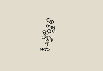 O=C(O)CCc1cnc([C@@H]2CCC[N+]2(C(=O)Cc2cc(Cl)c(NC(=O)c3coc4ccccc34)cc2Cl)N2CCC(F)(F)CC2)s1